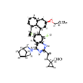 C#Cc1cccc2cc(OCOC)cc(-c3c(F)cc4c(N5CC6CCC(C6)C5)nc(CCC5(C=O)CC5)nc4c3F)c12